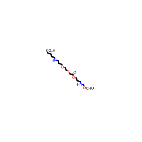 O=COCNCCCOC(=O)COCCOCCCNCCCCC(=O)O